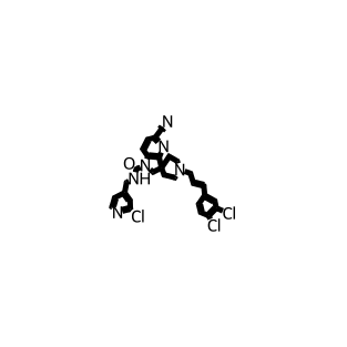 N#Cc1ccc2c(n1)C1(CCN(CC=Cc3ccc(Cl)c(Cl)c3)CC1)CN2C(=O)NCc1ccnc(Cl)c1